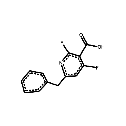 O=C(O)c1c(F)cc(Cc2ccccc2)nc1F